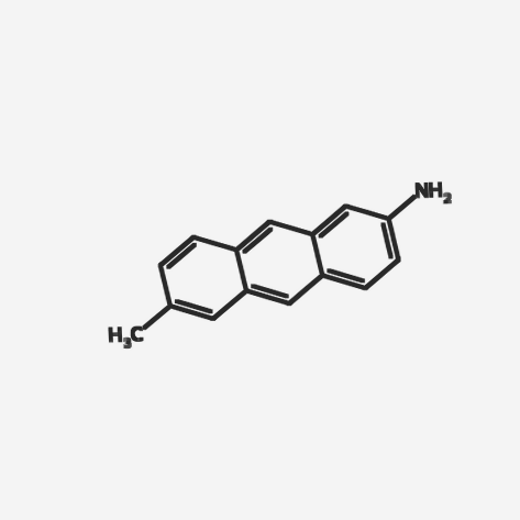 Cc1ccc2cc3cc(N)ccc3cc2c1